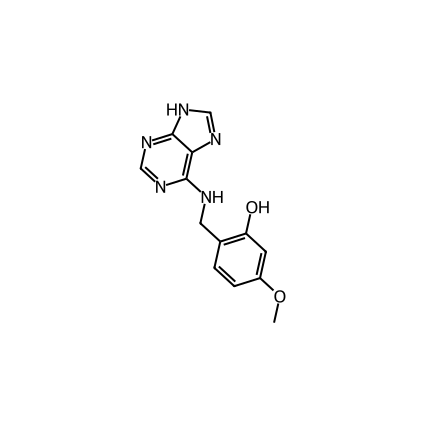 COc1ccc(CNc2ncnc3[nH]cnc23)c(O)c1